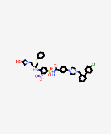 O=C(NS(=O)(=O)c1ccc(N[C@H](CCN2CC(O)C2)CSc2ccccc2)c([N+](=O)[O-])c1)c1ccc(N2CCN(Cc3ccccc3-c3ccc(Cl)cc3)CC2)cc1